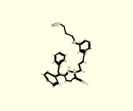 O=C(O)CCCOc1cccc(CCCN2N=C(C(c3ccccc3)c3ccccc3)CCC2=O)c1